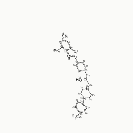 CC(C)c1cc(C#N)cc2nc(-c3ccc(CC(O)CN4CCN(c5ccc(C(F)(F)F)cn5)CC4)cc3)oc12